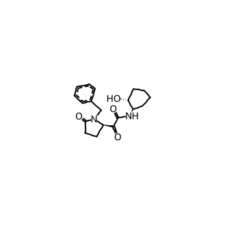 O=C(N[C@H]1CCCC[C@H]1O)C(=O)[C@H]1CCC(=O)N1Cc1ccccc1